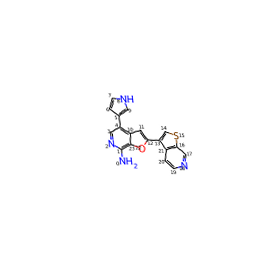 Nc1ncc(-c2cc[nH]c2)c2cc(-c3csc4cnccc34)oc12